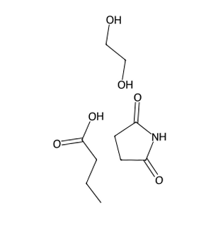 CCCC(=O)O.O=C1CCC(=O)N1.OCCO